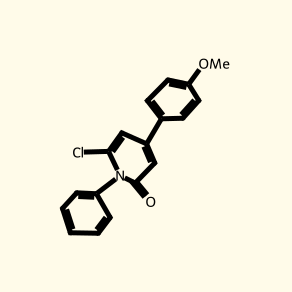 COc1ccc(-c2cc(Cl)n(-c3ccccc3)c(=O)c2)cc1